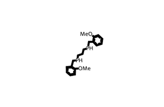 COc1ccccc1CPCCCPCc1ccccc1OC